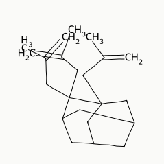 C=C(C)CC12CC3CC(CC(C3)C1(CC(=C)C)CC(=C)C)C2